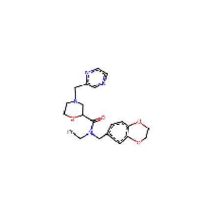 CC(C)CN(Cc1ccc2c(c1)OCCO2)C(=O)C1CN(Cc2cnccn2)CCO1